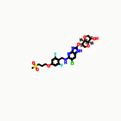 CS(=O)(=O)CCCOc1cc(F)c(CNc2nc3nc(O[C@@H]4CO[C@H]5[C@@H]4OC[C@H]5O)[nH]c3cc2Cl)c(F)c1